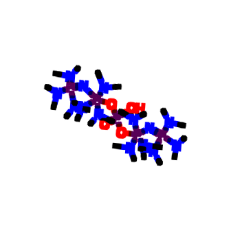 CN(C)P(=NP(OP(=O)(O)OP(N=P(N(C)C)(N(C)C)N(C)C)(N(C)C)(N(C)C)N(C)C)(N(C)C)(N(C)C)N(C)C)(N(C)C)N(C)C